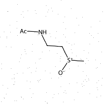 CC(=O)NCC[S+](C)[O-]